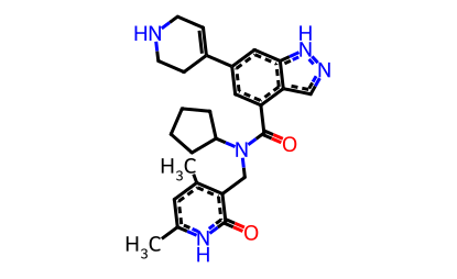 Cc1cc(C)c(CN(C(=O)c2cc(C3=CCNCC3)cc3[nH]ncc23)C2CCCC2)c(=O)[nH]1